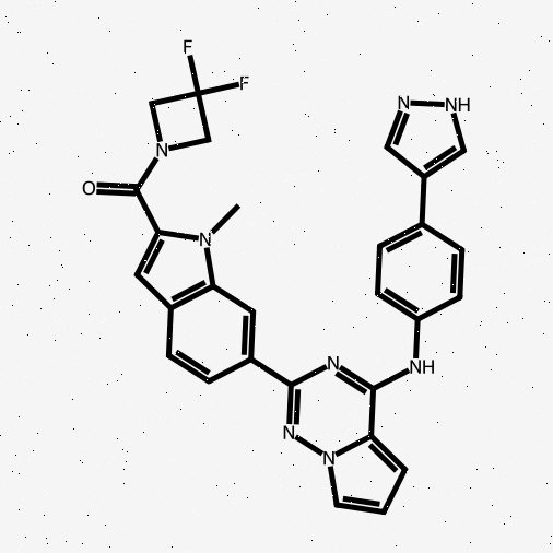 Cn1c(C(=O)N2CC(F)(F)C2)cc2ccc(-c3nc(Nc4ccc(-c5cn[nH]c5)cc4)c4cccn4n3)cc21